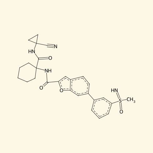 CS(=N)(=O)c1cccc(-c2ccc3cc(C(=O)NC4(C(=O)NC5(C#N)CC5)CCCCC4)oc3c2)c1